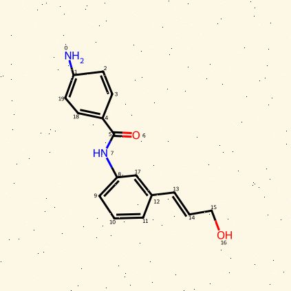 Nc1ccc(C(=O)Nc2cccc(/C=C/CO)c2)cc1